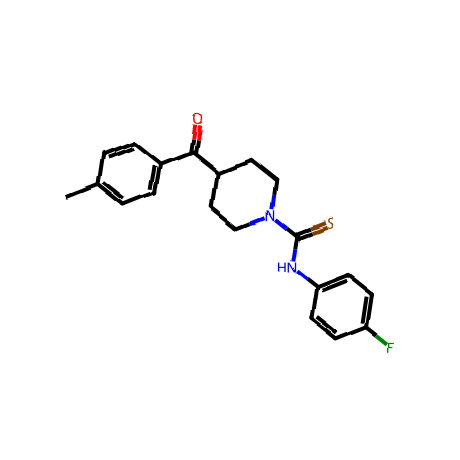 Cc1ccc(C(=O)C2CCN(C(=S)Nc3ccc(F)cc3)CC2)cc1